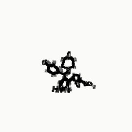 O=[N+]([O-])c1ccc(-c2n[nH]cc2C(=NN2CCOCC2)c2ccc(Cl)cc2)o1